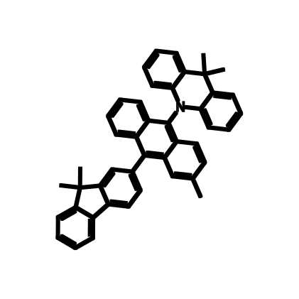 Cc1ccc2c(N3c4ccccc4C(C)(C)c4ccccc43)c3ccccc3c(-c3ccc4c(c3)C(C)(C)c3ccccc3-4)c2c1